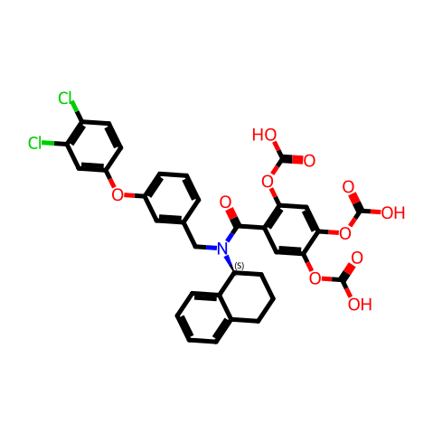 O=C(O)Oc1cc(OC(=O)O)c(C(=O)N(Cc2cccc(Oc3ccc(Cl)c(Cl)c3)c2)[C@H]2CCCc3ccccc32)cc1OC(=O)O